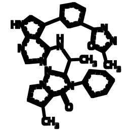 Cc1nnc(-c2cccc(-c3c[nH]c4ncnc(NC(C)c5nn6ccc(C)c6c(=O)n5-c5ccccc5)c34)c2)o1